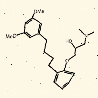 COc1cc(CCCCc2ccccc2OCC(O)CN(C)C)cc(OC)c1